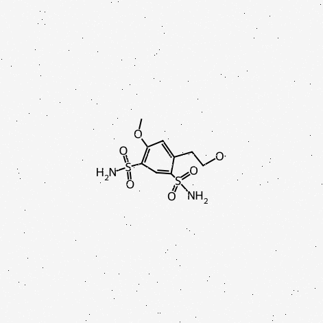 COc1cc(CC[O])c(S(N)(=O)=O)cc1S(N)(=O)=O